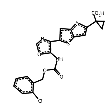 O=C(Nc1ocnc1-c1cc2sc(C3(C(=O)O)CC3)cc2s1)OCc1ccccc1Cl